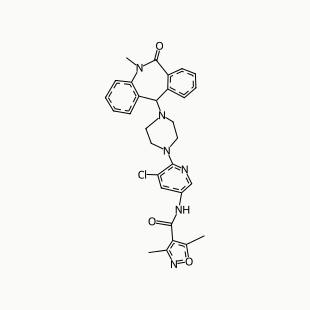 Cc1noc(C)c1C(=O)Nc1cnc(N2CCN(C3c4ccccc4C(=O)N(C)c4ccccc43)CC2)c(Cl)c1